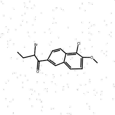 CCC(Br)C(=O)c1ccc2c(Cl)c(OC)ccc2c1